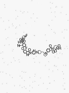 N#Cc1c(NS(=O)(=O)N2CC[C@@H](F)C2)ccc(F)c1Oc1ccc2ncn(-c3ccc(N4CCC(CC5CCCN5c5ccc6c(c5)C(=O)N(C5CCC(=O)NC5=O)C6=O)CC4)nc3)c(=O)c2c1